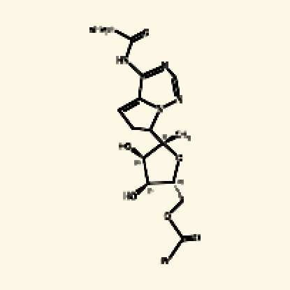 CCCCCCCC(=O)NC1=NC=NN2C1=CCC2[C@]1(C)O[C@H](COC(=O)C(C)C)[C@@H](O)[C@H]1O